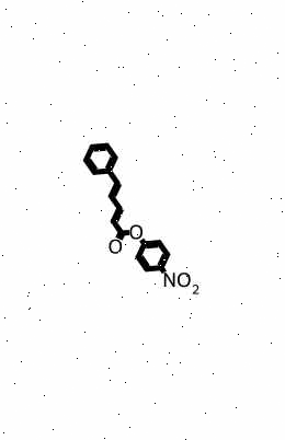 O=C(C=CC=Cc1ccccc1)Oc1ccc([N+](=O)[O-])cc1